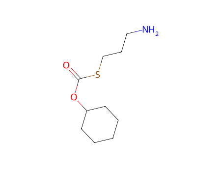 NCCCSC(=O)OC1CCCCC1